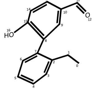 CCc1ccccc1-c1cc(C=O)ccc1O